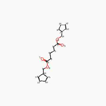 O=C(CCCCC(=O)OCC1CCCC1)OCC1CCCC1